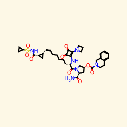 NC(=O)[C@@H]1C[C@@H](OC(=O)N2CCc3ccccc3C2)CN1C(=O)[C@H](CCCCC/C=C\[C@@H]1C[C@@H]1C(=O)NS(=O)(=O)C1CC1)Nc1c(N2CCC2)c(=O)c1=O